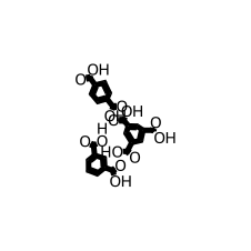 O=C(O)c1cc(C(=O)O)cc(C(=O)O)c1.O=C(O)c1ccc(C(=O)O)cc1.O=C(O)c1cccc(C(=O)O)c1